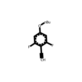 C#Cc1c(F)cc(OCCCC)cc1F